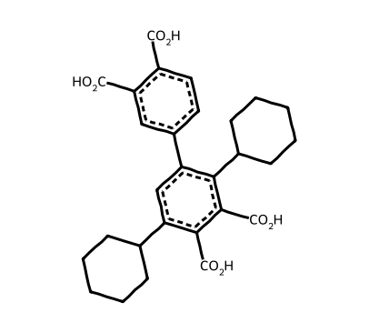 O=C(O)c1ccc(-c2cc(C3CCCCC3)c(C(=O)O)c(C(=O)O)c2C2CCCCC2)cc1C(=O)O